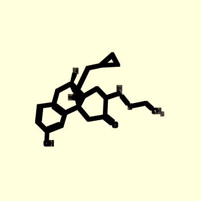 CCSNC1C[C@@]2(O)[C@H]3Cc4ccc(O)cc4[C@@]2(CCN3CC2CC2)CC1=O